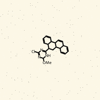 COC1N=C(Cl)N=C(C2CC3C4C=CC=CC4C=CC3C3C=CC=CC23)N1